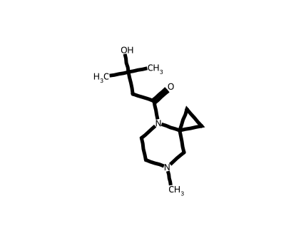 CN1CCN(C(=O)CC(C)(C)O)C2(CC2)C1